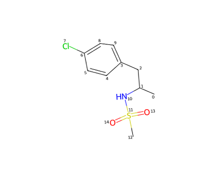 CC(Cc1ccc(Cl)cc1)NS(C)(=O)=O